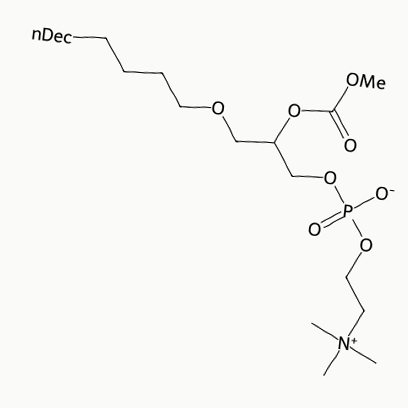 CCCCCCCCCCCCCCOCC(COP(=O)([O-])OCC[N+](C)(C)C)OC(=O)OC